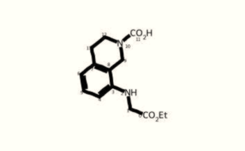 CCOC(=O)CNc1cccc2c1CN(C(=O)O)CC2